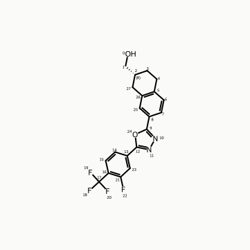 OC[C@@H]1CCc2ccc(-c3nnc(-c4ccc(C(F)(F)F)c(F)c4)o3)cc2C1